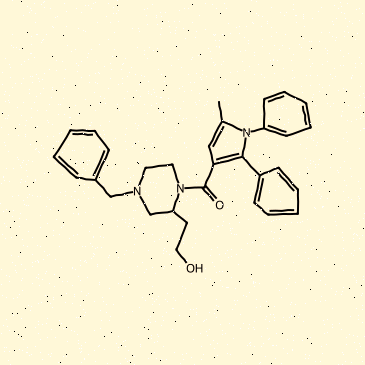 Cc1cc(C(=O)N2CCN(Cc3ccccc3)CC2CCO)c(-c2ccccc2)n1-c1ccccc1